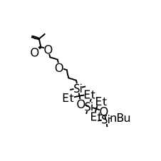 C=C(C)C(=O)OCCOCCC[Si](C)(C)C(CC)(CC)O[Si](C)(C)C(CC)(CC)O[Si](C)(C)CCCC